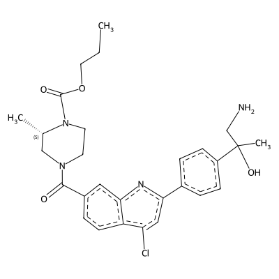 CCCOC(=O)N1CCN(C(=O)c2ccc3c(Cl)cc(-c4ccc(C(C)(O)CN)cc4)nc3c2)C[C@@H]1C